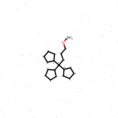 [SiH3]OCCCC(C1CCCC1)(C1CCCC1)C1CCCC1